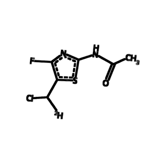 [2H]C(Cl)c1sc(NC(C)=O)nc1F